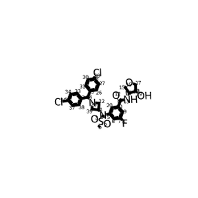 CS(=O)(=O)N(c1cc(F)cc(C(=O)N[C@H]2COC[C@H]2O)c1)C1CN(C(c2ccc(Cl)cc2)c2ccc(Cl)cc2)C1